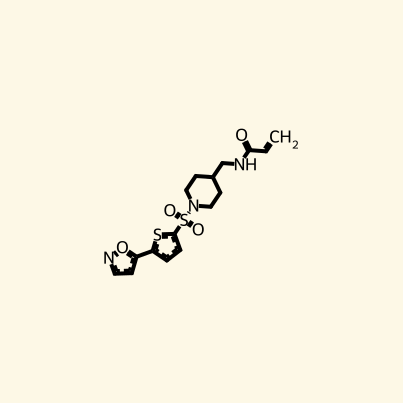 C=CC(=O)NCC1CCN(S(=O)(=O)c2ccc(-c3ccno3)s2)CC1